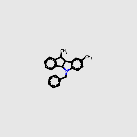 Cc1ccc2c(c1)C1C(C)c3ccccc3C1N2Cc1ccccc1